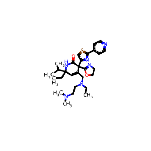 CCN(CCN(C)C)CC1=CC(CC)(C(C)C)NC(=O)C1(C1=NCCO1)c1csc(-c2ccncc2)n1